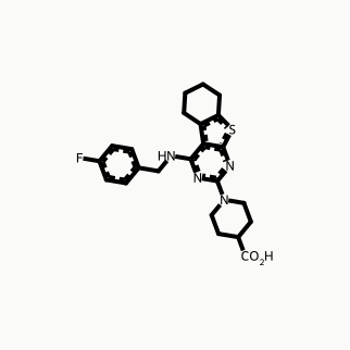 O=C(O)C1CCN(c2nc(NCc3ccc(F)cc3)c3c4c(sc3n2)CCCC4)CC1